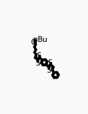 CCCCOCCCCc1cc2sc3cc4c(cc3c2s1)sc1cc(-c2ccccc2)sc14